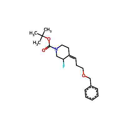 CC(C)(C)OC(=O)N1CCC(=CCCOCc2ccccc2)C(F)C1